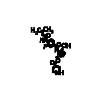 CC(C)CC(=O)Nc1ccc(C(=O)N=c2sccn2COC(=O)C2CCNCC2)cc1F.Cl